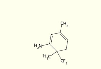 CC1=CCC(C)(C(F)(F)F)C(N)=C1